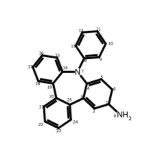 NC1C=C2C(=CC1)N(c1ccccc1)c1ccccc1-c1ccccc12